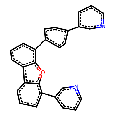 c1cncc(-c2ccc(-c3cccc4c3oc3c(-c5cccnc5)cccc34)cc2)c1